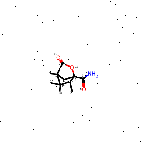 CC1C2(C(N)=O)CC(C)(C(=O)O2)C1(C)C